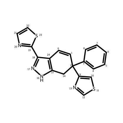 C1=CC(c2ccccc2)(c2cscn2)Cc2[nH]nc(-c3nccs3)c21